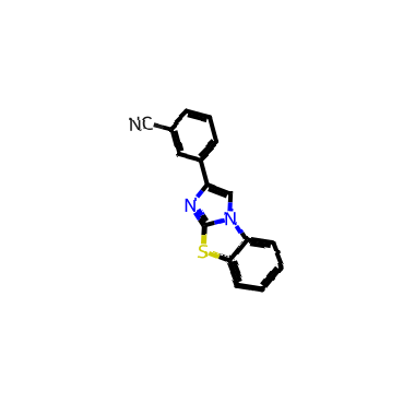 N#Cc1cccc(-c2cn3c(n2)sc2ccccc23)c1